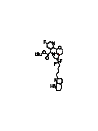 CC(C)(C)OC(=O)C(c1cc(F)cnc1C1CCCCO1)N1CC[C@@H](C(F)(F)CCCCc2ccc3c(n2)NCCC3)C1